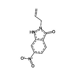 C=CCn1[nH]c2cc([N+](=O)[O-])ccc2c1=O